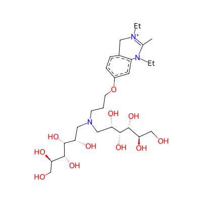 CCN1C(C)=[N+](CC)Cc2ccc(OCCCN(C[C@H](O)[C@@H](O)[C@H](O)[C@H](O)CO)C[C@H](O)[C@@H](O)[C@H](O)[C@H](O)CO)cc21